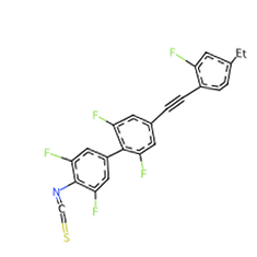 CCc1ccc(C#Cc2cc(F)c(-c3cc(F)c(N=C=S)c(F)c3)c(F)c2)c(F)c1